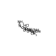 C[C@@H]1CN(C(=O)Nc2ccn(-c3ccc(CN4CC5C(N)C5C4)cc3)c(=O)n2)CCN1C(=O)[C@@](C)(N)CO.Cl